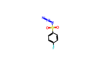 [N-]=[N+]=NS(=O)(=O)c1ccc(F)cc1